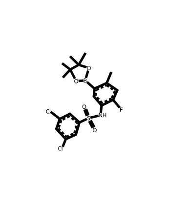 Cc1cc(F)c(NS(=O)(=O)c2cc(Cl)cc(Cl)c2)cc1B1OC(C)(C)C(C)(C)O1